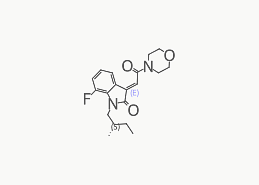 CC[C@H](C)CN1C(=O)/C(=C/C(=O)N2CCOCC2)c2cccc(F)c21